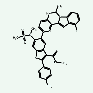 CNC(=O)c1c(-c2ccc(C)cc2)oc2cc(N(C)S(C)(=O)=O)c(-c3ccc4c(n3)-c3cc5c(F)cccc5n3C(C)N4)cc12